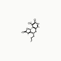 O=C1C=C(N(CCF)Cc2cnc(Cl)c(Cl)c2)CO1